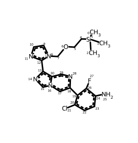 C[Si](C)(C)CCOCn1ccnc1-c1ncn2cc(-c3c(Cl)ccc(N)c3F)ncc12